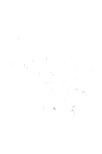 CCOC1CCCN1CCCN(CC(C)=Cc1ccccc1)C(=O)c1cc(OC)c(OC)c(OC)c1